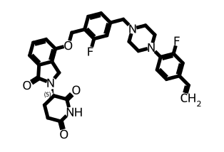 C=Cc1ccc(N2CCN(Cc3ccc(COc4cccc5c4CN([C@H]4CCC(=O)NC4=O)C5=O)c(F)c3)CC2)c(F)c1